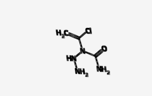 C=C(Cl)N(NN)C(N)=O